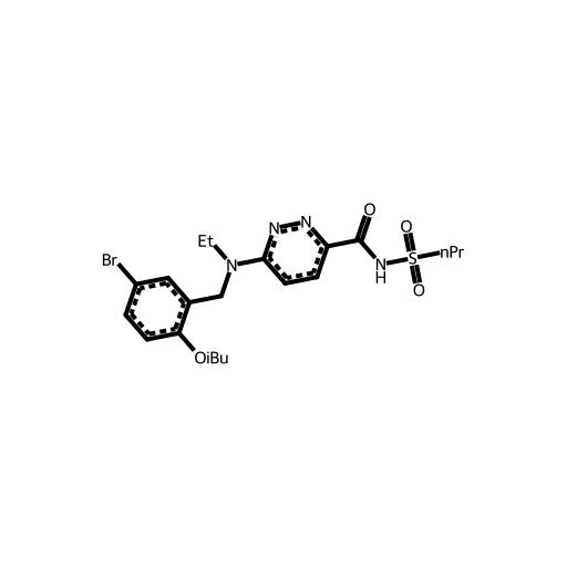 CCCS(=O)(=O)NC(=O)c1ccc(N(CC)Cc2cc(Br)ccc2OCC(C)C)nn1